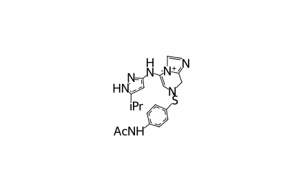 CC(=O)Nc1ccc(SN2C=C(Nc3cc(C(C)C)[nH]n3)[N+]3C=CN=C3C2)cc1